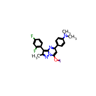 Cc1nn2c(OI)cc(-c3ccc(N(C)C)cc3)nc2c1-c1ccc(F)cc1F